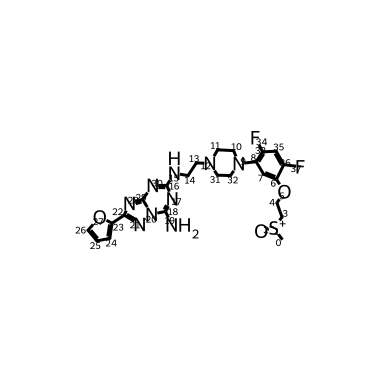 C[S+]([O-])CCOc1cc(N2CCN(CCNc3nc(N)n4nc(-c5ccco5)nc4n3)CC2)c(F)cc1F